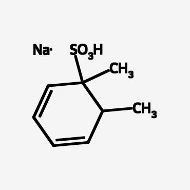 CC1C=CC=CC1(C)S(=O)(=O)O.[Na]